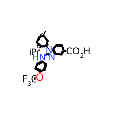 CC(C)[C@@H]1CC[C@@H](C)C[C@H]1n1c(Nc2ccc(OC(F)(F)F)cc2)nc2cc(C(=O)O)ccc21